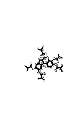 CC(C)C(=O)Oc1cc2c(cc1OC(=O)C(C)C)[C@@H]1c3ccc(OC(=O)C(C)C)c(OC(=O)C(C)C)c3OC[C@]1(OC(=O)C(C)C)C2